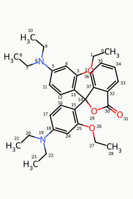 CCOc1cc(N(CC)CC)ccc1C1(c2ccc(N(CC)CC)cc2OCC)OC(=O)c2ccccc21